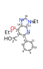 CCOc1c(C(=O)O)c(-c2ccccc2)nc2c1ncn2CC